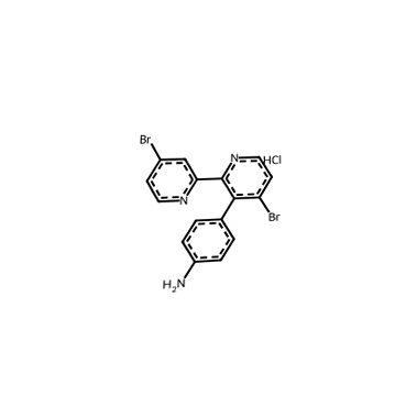 Cl.Nc1ccc(-c2c(Br)ccnc2-c2cc(Br)ccn2)cc1